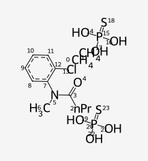 C.C.CCCC(=O)N(C)c1ccccc1Cl.OP(O)(O)=S.OP(O)(O)=S